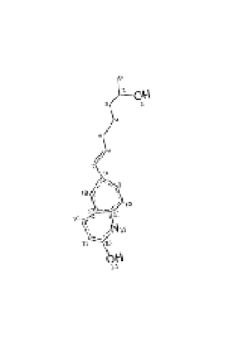 CC(O)CCCC=Cc1ccc2nc(O)ccc2c1